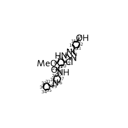 COc1cc(Nc2cncc(-c3ccc(O)cc3)n2)c(Cl)cc1C(=O)NC1CCN(Cc2ccccc2)CC1